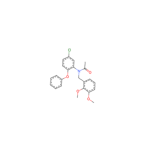 COc1cccc(CN(C(C)=O)c2cc(Cl)ccc2Oc2ccccc2)c1OC